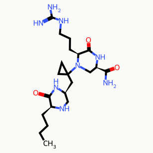 CCCC[C@@H]1NC[C@H](CC2(N3C[C@H](C(N)=O)NC(=O)[C@@H]3CCCNC(=N)N)CC2)NC1=O